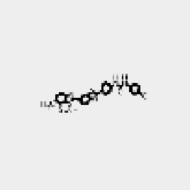 Cc1ccc2nc(-c3ccc4nc(-c5ccc(NC(=O)Nc6ccc(Cl)cc6)cc5)sc4c3)sc2c1S(=O)(=O)O